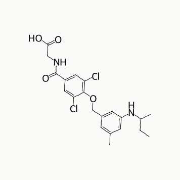 CCC(C)Nc1cc(C)cc(COc2c(Cl)cc(C(=O)NCC(=O)O)cc2Cl)c1